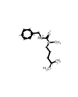 CC(C)CCCN(C)C(=O)NCc1ccccc1